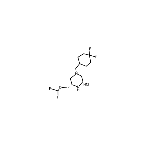 Cl.FC(F)OC[C@@H]1CN(CC2CCC(F)(F)CC2)CCN1